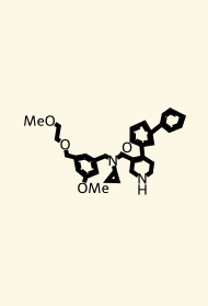 COCCOCc1cc(CN(C(=O)C2=C(c3cccc(-c4ccccc4)c3)CCNC2)C2CC2)cc(OC)c1